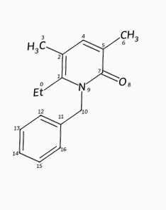 CCc1c(C)cc(C)c(=O)n1Cc1ccccc1